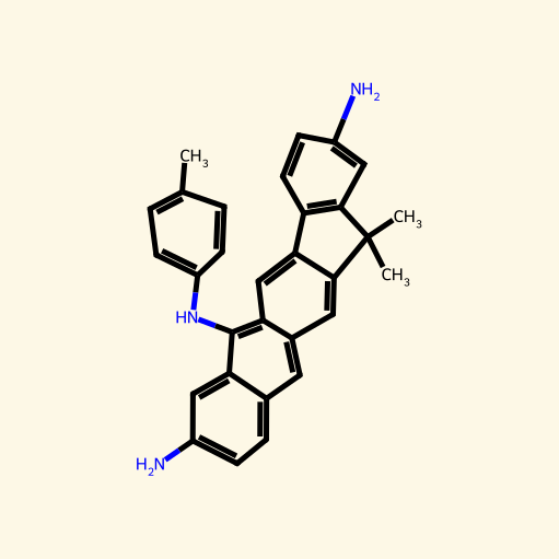 Cc1ccc(Nc2c3cc(N)ccc3cc3cc4c(cc23)-c2ccc(N)cc2C4(C)C)cc1